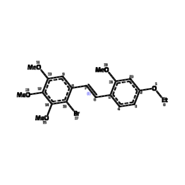 CCOc1ccc(/C=C/c2cc(OC)c(OC)c(OC)c2Br)c(OC)c1